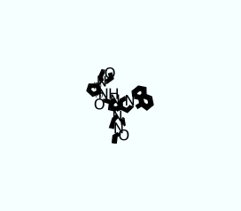 C=CC(=O)N1CCN(c2cc(C(=O)N[C@@H]3CCC[C@H]3N3CCOCC3)nc3c2CCN(c2cccc4cccc(C)c24)C3)CC1